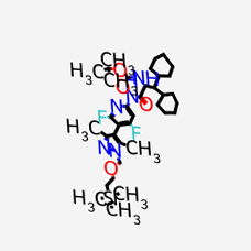 Cc1nn(COCC[Si](C)(C)C)c(C)c1-c1c(F)cc(NC(=O)[C@@H](NC(=O)OC(C)(C)C)C(C2CCCCC2)C2CCCCC2)nc1F